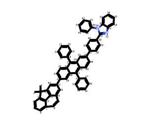 CC1(C)c2cccc3ccc4cc(-c5ccc6c(-c7ccccc7)c7cc(-c8ccc(-c9nc%10ccccc%10n9-c9ccccc9)cc8)ccc7c(-c7ccccc7)c6c5)cc1c4c23